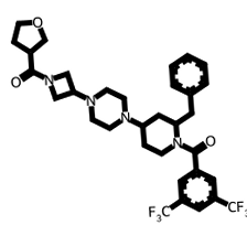 O=C(C1CCOC1)N1CC(N2CCN(C3CCN(C(=O)c4cc(C(F)(F)F)cc(C(F)(F)F)c4)C(Cc4ccccc4)C3)CC2)C1